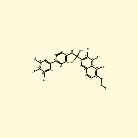 CCCc1ccc2cc(C(F)(F)Oc3ccc(-c4cc(F)c(F)c(F)c4)nc3)c(F)c(F)c2c1F